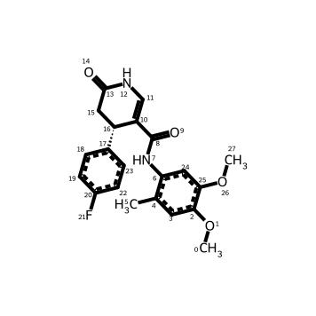 COc1cc(C)c(NC(=O)C2=CNC(=O)C[C@H]2c2ccc(F)cc2)cc1OC